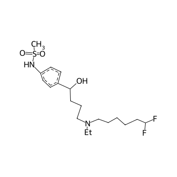 CCN(CCCCCC(F)F)CCCC(O)c1ccc(NS(C)(=O)=O)cc1